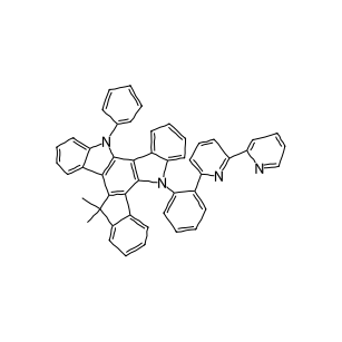 CC1(C)c2ccccc2-c2c1c1c3ccccc3n(-c3ccccc3)c1c1c3ccccc3n(-c3ccccc3-c3cccc(-c4ccccn4)n3)c21